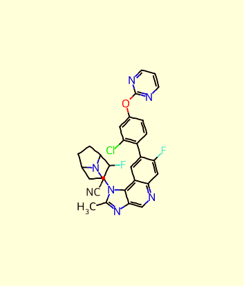 Cc1nc2cnc3cc(F)c(-c4ccc(Oc5ncccn5)cc4Cl)cc3c2n1C1CC2CCC(C1F)N2CC#N